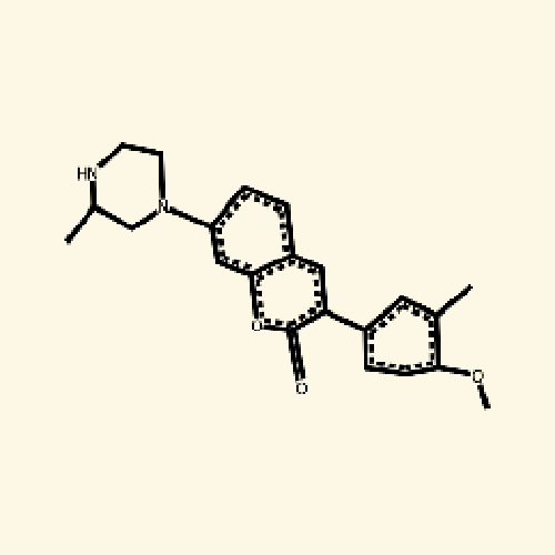 COc1ccc(-c2cc3ccc(N4CCNC(C)C4)cc3oc2=O)cc1C